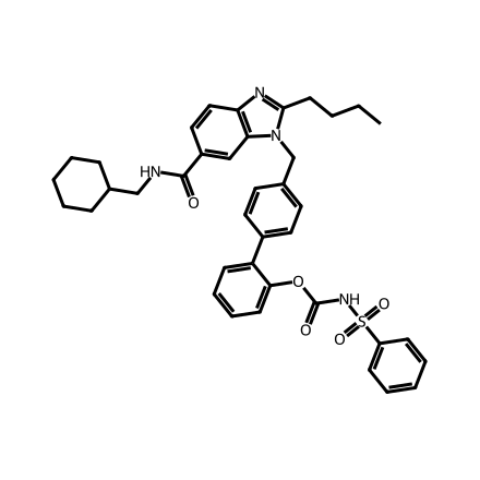 CCCCc1nc2ccc(C(=O)NCC3CCCCC3)cc2n1Cc1ccc(-c2ccccc2OC(=O)NS(=O)(=O)c2ccccc2)cc1